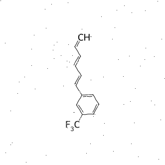 [CH]=CC=CC=Cc1cccc(C(F)(F)F)c1